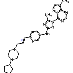 Cc1csc2c(-n3nc(Nc4ccc(/C=C/CN5CCN(C6CCCC6)CC5)nc4)nc3N)ncnc12